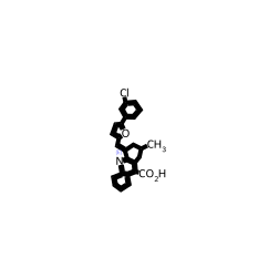 CC1C/C(=C\c2ccc(-c3cccc(Cl)c3)o2)c2nc3ccccc3c(C(=O)O)c2C1